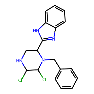 ClC1NCC(c2nc3ccccc3[nH]2)N(Cc2ccccc2)C1Cl